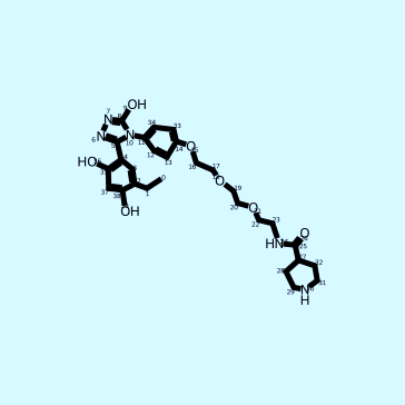 CCc1cc(-c2nnc(O)n2-c2ccc(OCCOCCOCCNC(=O)C3CCNCC3)cc2)c(O)cc1O